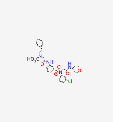 O=C(CN(CCc1ccccc1)C(=O)O)Nc1cccc(S(=O)(=O)N(CC(=O)NC2CCOCC2)c2cccc(Cl)c2)c1